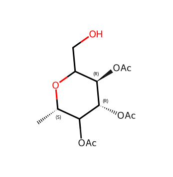 CC(=O)OC1[C@H](C)OC(CO)[C@@H](OC(C)=O)[C@@H]1OC(C)=O